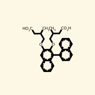 CC(COc1cc2ccccc2c(-c2cccc3ccccc23)c1OCC(C)CC(=O)O)CC(=O)O